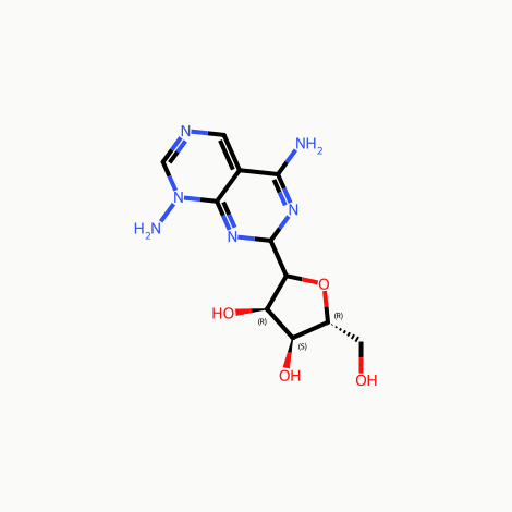 NC1=NC(C2O[C@H](CO)[C@@H](O)[C@H]2O)N=C2C1=CN=CN2N